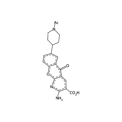 CC(=O)N1CCC(c2ccc3oc4nc(N)c(C(=O)O)cc4c(=O)c3c2)CC1